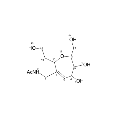 CC(=O)NCC1=CC(O)C(O)C(CO)OC1CCO